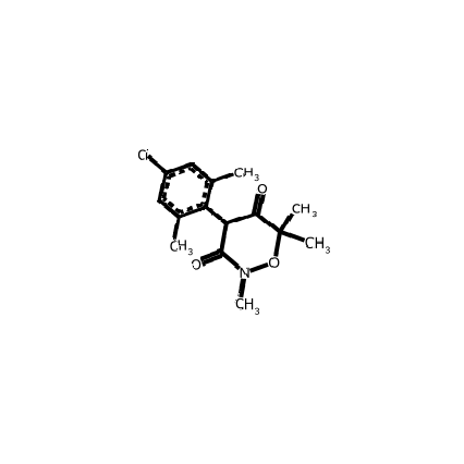 Cc1cc(Cl)cc(C)c1C1C(=O)N(C)OC(C)(C)C1=O